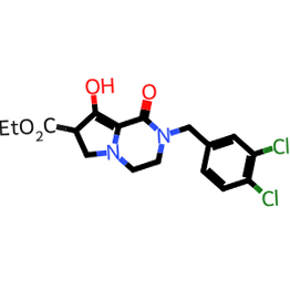 CCOC(=O)C1CN2CCN(Cc3ccc(Cl)c(Cl)c3)C(=O)C2=C1O